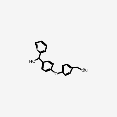 CC(C)(C)Cc1ccc(Oc2ccc(C(O)c3ccccn3)cc2)cc1